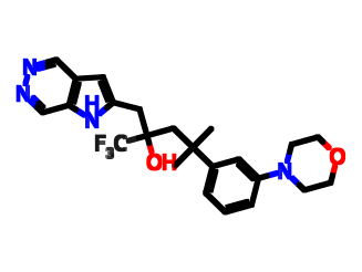 CC(C)(CC(O)(Cc1cc2cnncc2[nH]1)C(F)(F)F)c1cccc(N2CCOCC2)c1